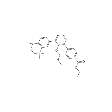 CCOC(=O)c1ccc(-c2cccc(-c3ccc4c(c3)C(C)(C)CCC4(C)C)c2OCOC)cc1